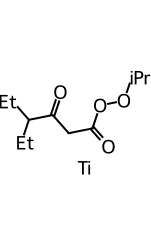 CCC(CC)C(=O)CC(=O)OOC(C)C.[Ti]